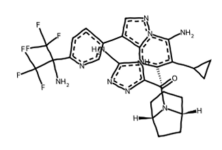 Nc1nnc(C(=O)N2[C@@H]3CC[C@H]2C[C@@H](c2nc4c(-c5ccc(C(N)(C(F)(F)F)C(F)(F)F)nc5)cnn4c(N)c2C2CC2)C3)[nH]1